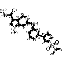 CCNC(=O)c1cn(C(C)C)c2cc(Nc3ccnc(-c4cnn(S(=O)(=O)N(C)C)c4)n3)ncc12